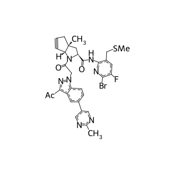 CSCc1cc(F)c(Br)nc1NC(=O)[C@@H]1C[C@@]2(C)CC#C[C@H]2N1C(=O)Cn1nc(C(C)=O)c2cc(-c3cnc(C)nc3)ccc21